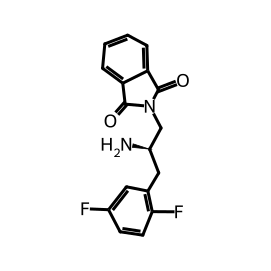 N[C@H](Cc1cc(F)ccc1F)CN1C(=O)c2ccccc2C1=O